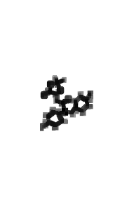 CC1(C)OC(=O)C(=CC(=O)N(Cc2ccc(F)cc2)c2ccc(F)cc2)O1